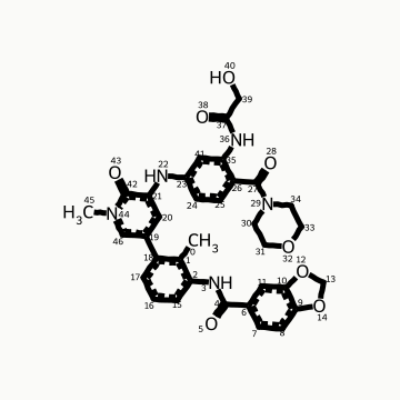 Cc1c(NC(=O)c2ccc3c(c2)OCO3)cccc1-c1cc(Nc2ccc(C(=O)N3CCOCC3)c(NC(=O)CO)c2)c(=O)n(C)c1